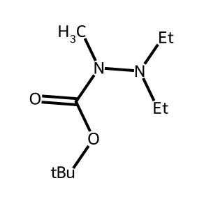 CCN(CC)N(C)C(=O)OC(C)(C)C